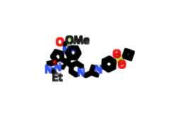 CCc1nccn1C[C@@](c1cccc(F)c1)(C1CCN(CC2CN(c3ccc(S(=O)(=O)C4CCC4)cc3)C2)CC1)[C@H]1CCC[C@@H]1NC(=O)OC